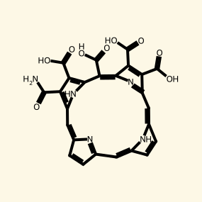 NC(=O)c1c(C(=O)O)c2[nH]c1cc1nc(cc3ccc(cc4nc(c2C(=O)O)C(C(=O)O)=C4C(=O)O)[nH]3)C=C1